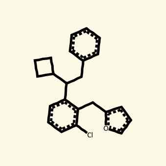 Clc1cccc([C](Cc2ccccc2)C2CCC2)c1Cc1ccco1